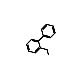 ICc1ccccc1-c1ccccc1